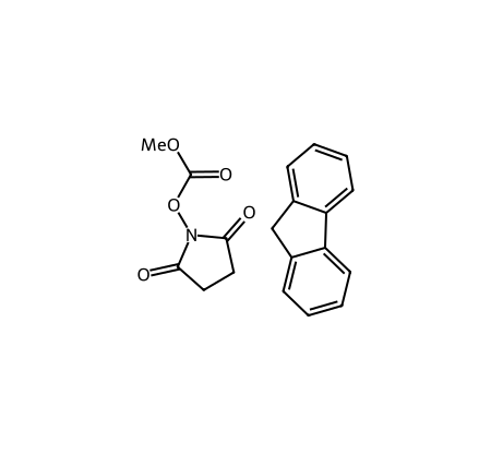 COC(=O)ON1C(=O)CCC1=O.c1ccc2c(c1)Cc1ccccc1-2